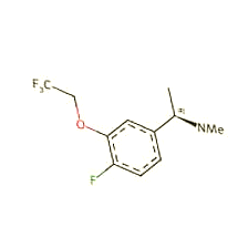 CN[C@H](C)c1ccc(F)c(OCC(F)(F)F)c1